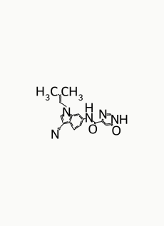 CC(C)=CCn1cc(C#N)c2ccc(NC(=O)c3cc(=O)[nH]cn3)cc21